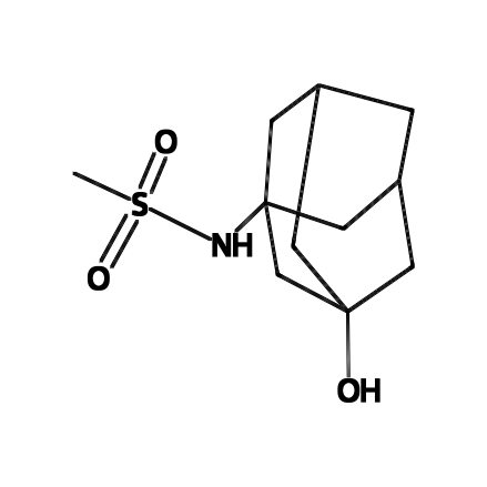 CS(=O)(=O)NC12CC3CC(CC(O)(C3)C1)C2